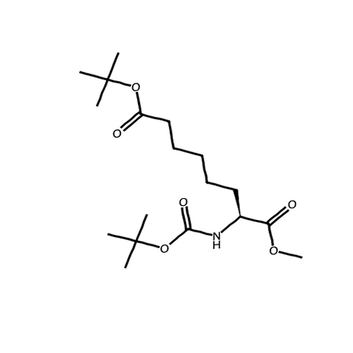 COC(=O)[C@H](CCCCCC(=O)OC(C)(C)C)NC(=O)OC(C)(C)C